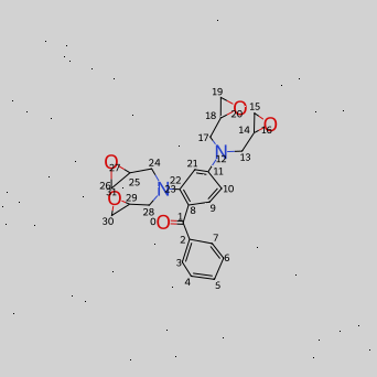 O=C(c1ccccc1)c1ccc(N(CC2CO2)CC2CO2)cc1N(CC1CO1)CC1CO1